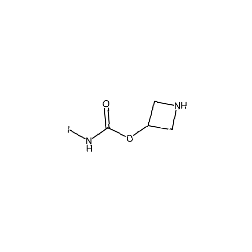 O=C(NI)OC1CNC1